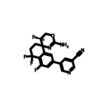 N#Cc1cncc(-c2cc(F)c3c(c2)C2(CCC3(F)F)N=C(N)OC[C@@H]2F)c1